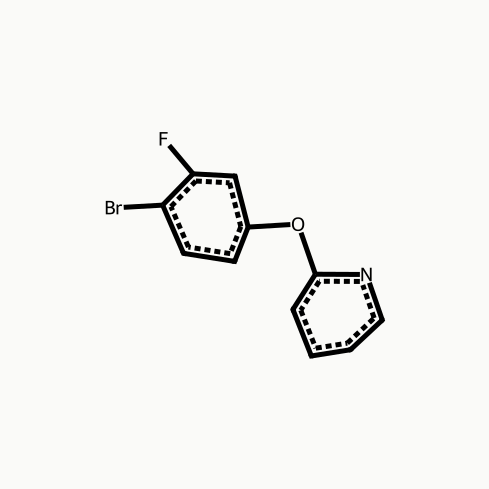 Fc1cc(Oc2ccccn2)ccc1Br